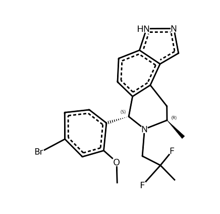 COc1cc(Br)ccc1[C@@H]1c2ccc3[nH]ncc3c2C[C@@H](C)N1CC(C)(F)F